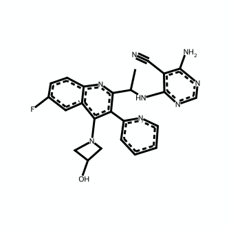 CC(Nc1ncnc(N)c1C#N)c1nc2ccc(F)cc2c(N2CC(O)C2)c1-c1ccccn1